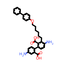 Nc1ccc(-c2ccc(N)c(CCCCCCOc3ccc(-c4ccccc4)cc3)c2C(=O)O)c(C(=O)O)c1